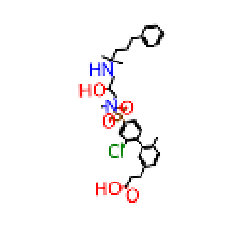 Cc1ccc(CCC(=O)O)cc1-c1ccc(S(=O)(=O)N(C)CC(O)CNC(C)(C)CCCc2ccccc2)cc1Cl